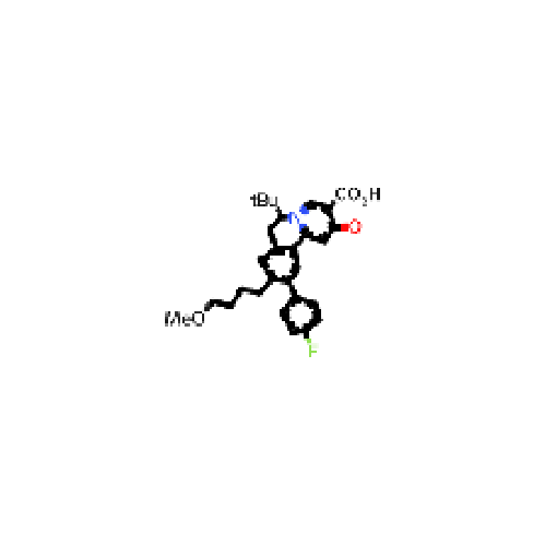 COCCCCc1cc2c(cc1-c1ccc(F)cc1)-c1cc(=O)c(C(=O)O)cn1C(C(C)(C)C)C2